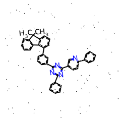 CC1(C)c2ccccc2-c2c(-c3cccc(-c4nc(-c5ccccc5)nc(-c5ccc(-c6ccccc6)nc5)n4)c3)cccc21